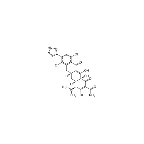 CN(C)[C@@H]1C(O)=C(C(N)=O)C(=O)[C@@]2(O)C(O)=C3C(=O)c4c(O)cc(-c5cc[nH]n5)c(Cl)c4C[C@H]3C[C@@H]12